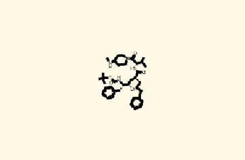 CNC1CCN(C(=O)[C@@H](NC(=O)[C@@H](CCCc2ccccc2)C[C@H](O)[C@H](Cc2ccccc2)NC(=O)OC(C)(C)C)C(C)C)CC1